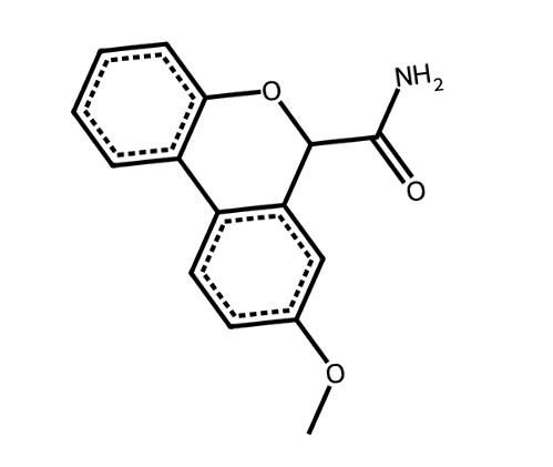 COc1ccc2c(c1)C(C(N)=O)Oc1ccccc1-2